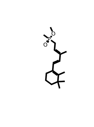 COP(C)(=O)CC=C(C)C=CC1=C(C)C(C)(C)CCC1